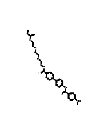 C=CC(=O)OCCOCCOCCOC(=O)c1ccc(-c2ccc(OC(=O)c3ccc(NC)cc3)cc2)cc1